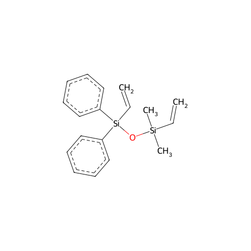 C=C[Si](C)(C)O[Si](C=C)(c1ccccc1)c1ccccc1